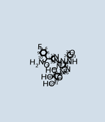 NC(=O)C(c1ccc(F)cc1)c1cnn(-c2nc(N[C@@H]3CCOC3)c3ncn([C@@H]4O[C@H](CO)[C@@H](O)[C@@H]4O)c3n2)c1